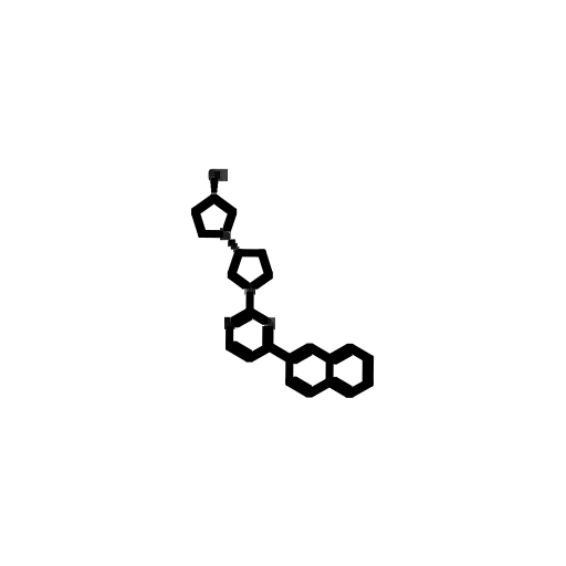 O[C@H]1CCN([C@@H]2CCN(c3nccc(-c4ccc5ccccc5c4)n3)C2)C1